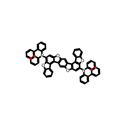 c1ccc(-c2ccccc2N(c2ccccc2)c2cc3oc4cc5c(cc4c3c3c2oc2ccccc23)oc2cc(N(c3ccccc3)c3ccccc3-c3ccccc3)c3oc4ccccc4c3c25)cc1